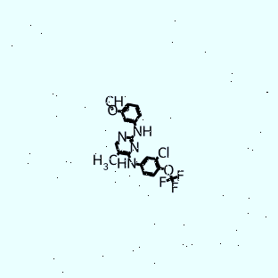 COc1cccc(Nc2ncc(C)c(Nc3ccc(OC(F)(F)F)c(Cl)c3)n2)c1